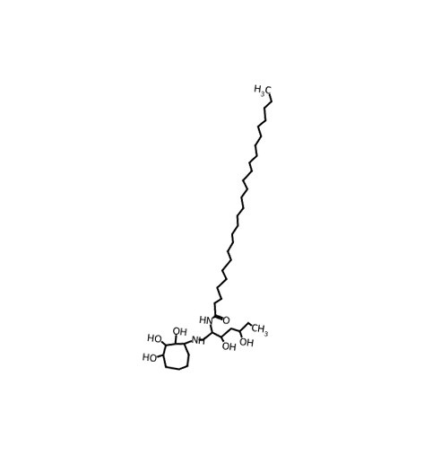 CCCCCCCCCCCCCCCCCCCCCCCCCC(=O)NC(CNC1CCCCC(O)C(O)C1O)C(O)CC(O)CC